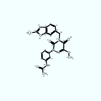 COc1nn(-c2cccc(NC(C)=O)c2)c(=O)n(Cc2ccc3nc(C)oc3c2)c1=O